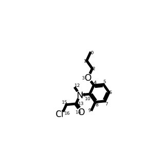 CCCOc1cccc(C)c1N(C)C(=O)CCl